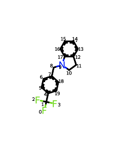 FC(F)(F)c1ccc(CN2CCc3c[c]ccc32)cc1